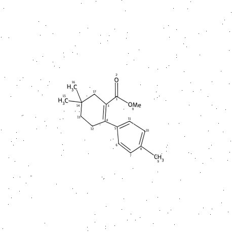 COC(=O)C1=C(c2ccc(C)cc2)CCC(C)(C)C1